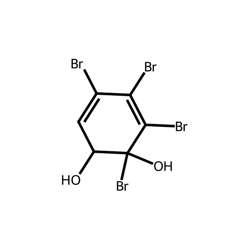 OC1C=C(Br)C(Br)=C(Br)C1(O)Br